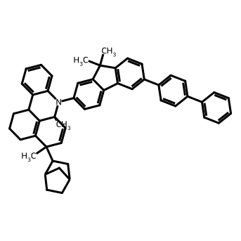 CC1(C)c2ccc(-c3ccc(-c4ccccc4)cc3)cc2-c2ccc(N3c4ccccc4C4CCCC5=C4C3(C)C=CC5(C)C3CC4CCC3C4)cc21